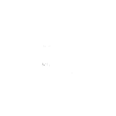 CCCCCCC(CC)C(=O)OCC.[AlH3]